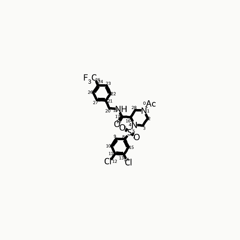 CC(=O)N1CCN(S(=O)(=O)c2ccc(Cl)c(Cl)c2)C(C(=O)NCc2ccc(C(F)(F)F)cc2)C1